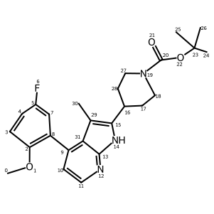 COc1ccc(F)cc1-c1ccnc2[nH]c(C3CCN(C(=O)OC(C)(C)C)CC3)c(C)c12